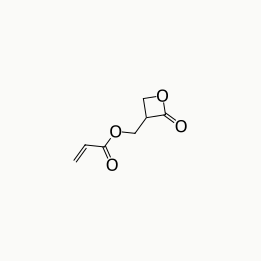 C=CC(=O)OCC1COC1=O